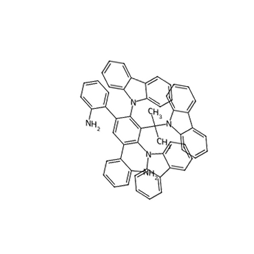 CC(C)(c1c(-n2c3ccccc3c3ccccc32)c(-c2ccccc2N)cc(-c2ccccc2N)c1-n1c2ccccc2c2ccccc21)n1c2ccccc2c2ccccc21